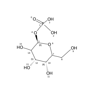 O=P(O)(O)O[C@H]1OC(CO)[C@H](O)[C@H](O)C1O